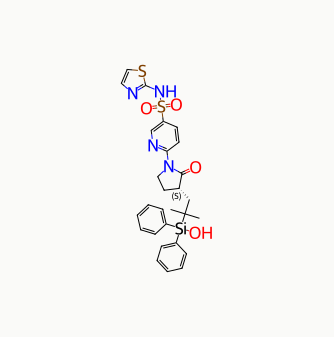 CC(C)(C[C@@H]1CCN(c2ccc(S(=O)(=O)Nc3nccs3)cn2)C1=O)[Si](O)(c1ccccc1)c1ccccc1